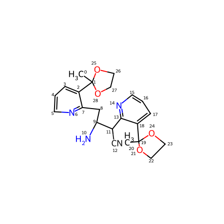 CC1(c2cccnc2CC(N)C(C#N)c2ncccc2C2(C)OCCO2)OCCO1